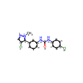 Cn1ncc(Cl)c1-c1cccc(NC(=O)Nc2ccc(Cl)cc2)c1